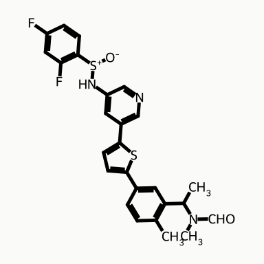 Cc1ccc(-c2ccc(-c3cncc(N[S+]([O-])c4ccc(F)cc4F)c3)s2)cc1C(C)N(C)C=O